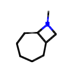 CN1CC2CCCCCC21